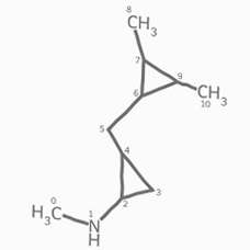 CNC1CC1CC1C(C)C1C